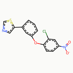 O=[N+]([O-])c1ccc(Oc2cccc(-c3cncs3)c2)c(Cl)c1